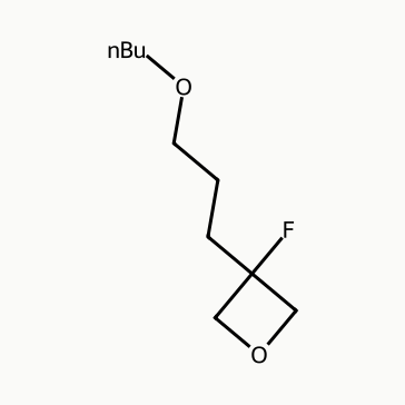 CCCCOCCCC1(F)COC1